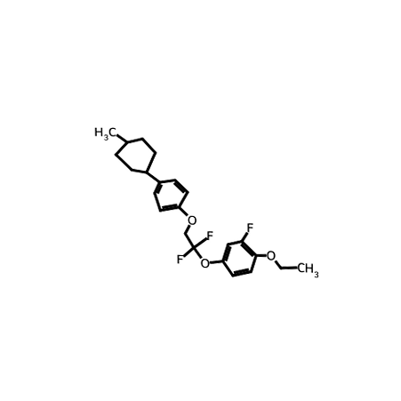 CCOc1ccc(OC(F)(F)COc2ccc(C3CCC(C)CC3)cc2)cc1F